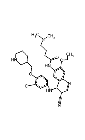 CCOc1cc2c(cc1NC(=O)CCCN(C)C)C(Nc1ccc(OCC3CCCNC3)c(Cl)c1)C(C#N)C=N2